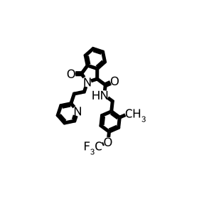 Cc1cc(OC(F)(F)F)ccc1CNC(=O)C1c2ccccc2C(=O)N1CCc1ccccn1